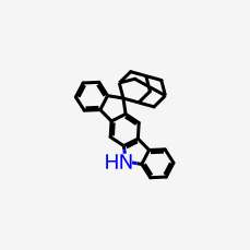 c1ccc2c(c1)-c1cc3[nH]c4ccccc4c3cc1C21C2CC3CC(C2)CC1C3